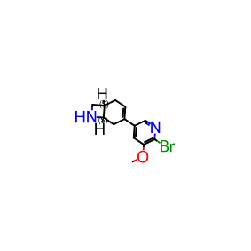 COc1cc(C2=CC[C@H]3CN[C@H]3C2)cnc1Br